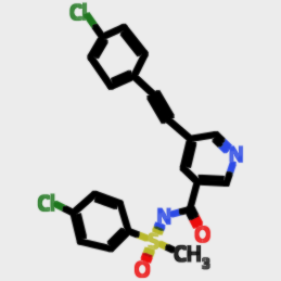 CS(=O)(=NC(=O)c1cncc(C#Cc2ccc(Cl)cc2)c1)c1ccc(Cl)cc1